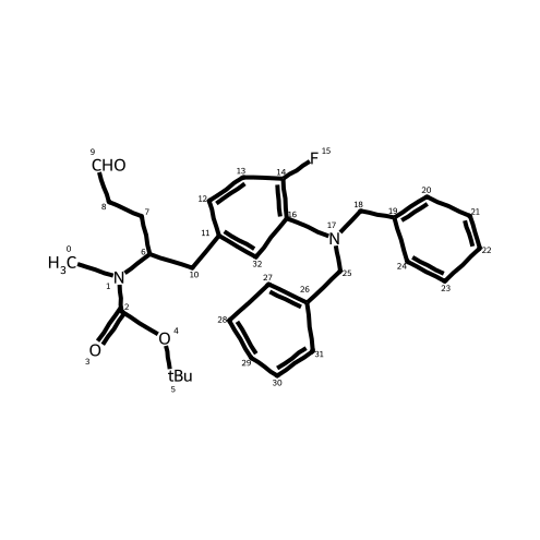 CN(C(=O)OC(C)(C)C)C(CCC=O)Cc1ccc(F)c(N(Cc2ccccc2)Cc2ccccc2)c1